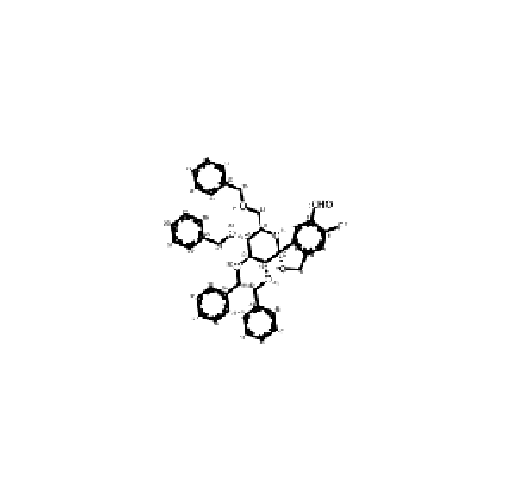 O=Cc1cc2c(cc1F)CO[C@]21O[C@H](COCc2ccccc2)[C@@H](OCc2ccccc2)[C@H](OCc2ccccc2)[C@H]1OCc1ccccc1